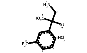 CCC(CN)(C(=O)O)c1cccc(C(F)(F)F)c1.Cl